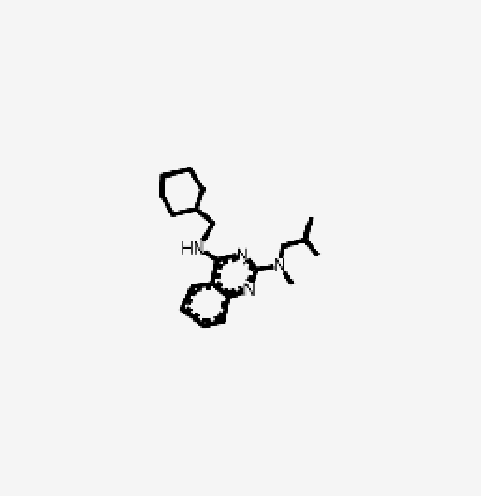 CC(C)CN(C)c1nc(NCC2CCCCC2)c2ccccc2n1